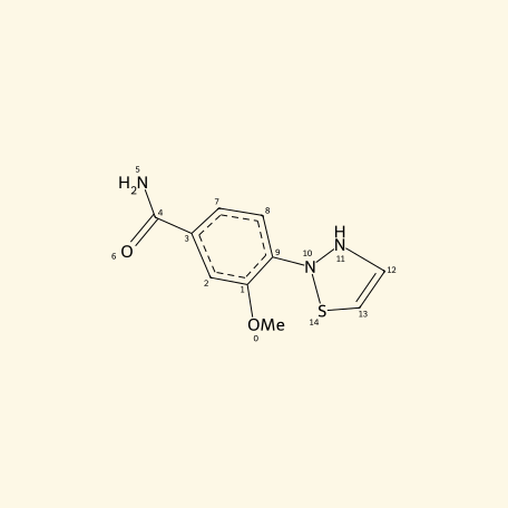 COc1cc(C(N)=O)ccc1N1NC=CS1